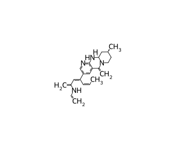 C=CNC(=C)/C=C(\C=C/C)c1cnc2c(c1)C(=C)N1CC[C@H](C)C[C@@H]1N2